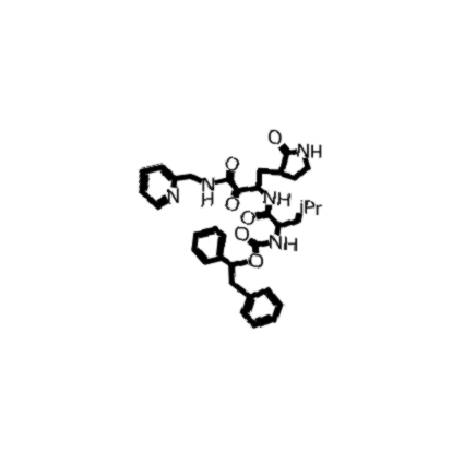 CC(C)CC(NC(=O)OC(Cc1ccccc1)c1ccccc1)C(=O)NC(CC1CCNC1=O)C(=O)C(=O)NCc1ccccn1